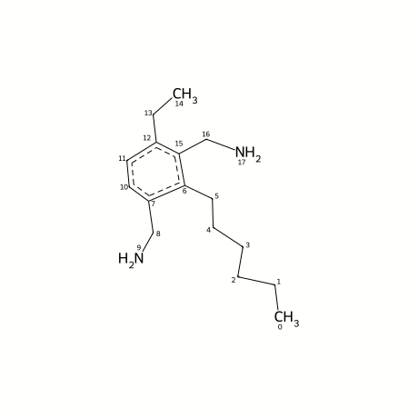 CCCCCCc1c(CN)ccc(CC)c1CN